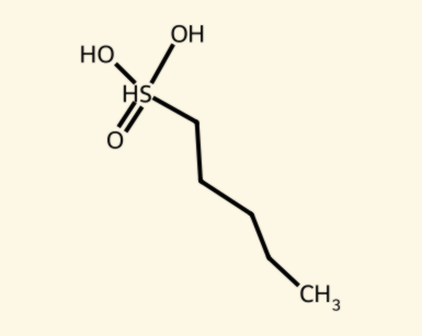 CCCCC[SH](=O)(O)O